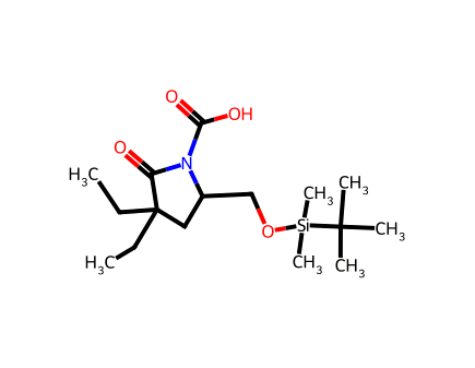 CCC1(CC)CC(CO[Si](C)(C)C(C)(C)C)N(C(=O)O)C1=O